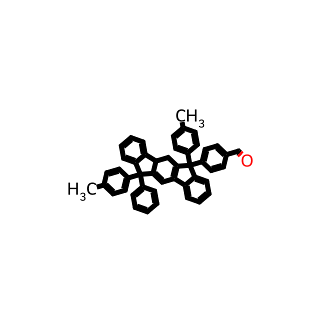 Cc1ccc(C2(c3ccc(C=O)cc3)C3=C(C=C4C(C3)c3ccccc3C4(c3ccccc3)c3ccc(C)cc3)c3ccccc32)cc1